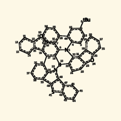 CC(C)(C)c1ccc(N2c3cc4oc5ccccc5c4c4c3B(c3ccc5oc6ccccc6c5c32)n2c3c-4cccc3c3sc4ccccc4c32)c(-c2ccccc2)c1